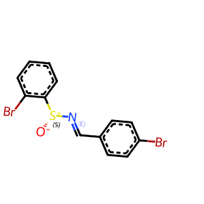 [O-][S@@+](/N=C/c1ccc(Br)cc1)c1ccccc1Br